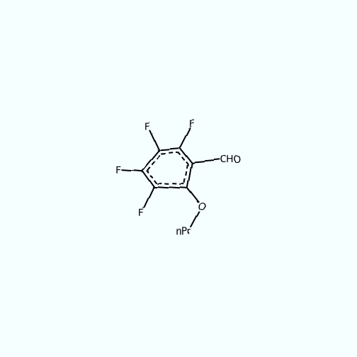 CCCOc1c(F)c(F)c(F)c(F)c1C=O